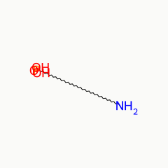 NCCCCCCCCCCCCCCCCCCCCCCCCCCCCCCCCCCCCCCCP(=O)(O)O